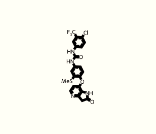 CSc1cc(NC(=O)Nc2ccc(Cl)c(C(F)(F)F)c2)ccc1Oc1ccnc2c1NC(=O)C2